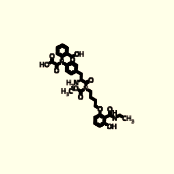 CCNC(=O)c1c(O)cccc1OCCCCN(C(=O)OC)C(=O)[C@@H](N)Cc1ccc(N(C(=O)C(=O)O)c2ccccc2C(=O)O)cc1